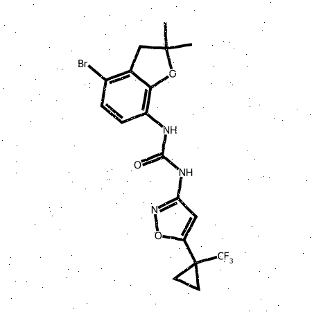 CC1(C)Cc2c(Br)ccc(NC(=O)Nc3cc(C4(C(F)(F)F)CC4)on3)c2O1